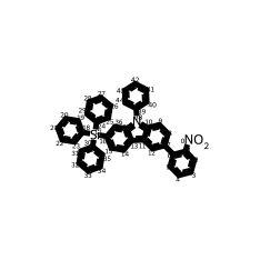 O=[N+]([O-])c1ccccc1-c1ccc2c(c1)c1ccc([Si](c3ccccc3)(c3ccccc3)c3ccccc3)cc1n2-c1ccccc1